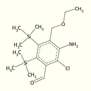 CCOCc1c(N)c(Cl)c(C=O)c([Si](C)(C)C)c1[Si](C)(C)C